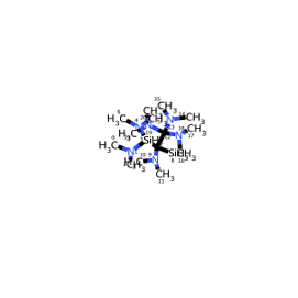 CN(C)[SiH](N(C)C)C([SiH3])(N(C)C)C(N(C)C)(N(C)C)N(C)C